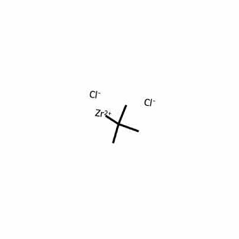 C[C](C)(C)[Zr+2].[Cl-].[Cl-]